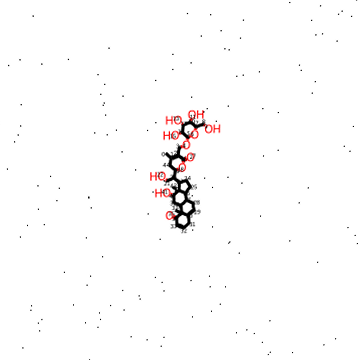 CC1=C(COC2OC(CO)C(O)C(O)C2O)C(=O)OC(C(CO)C2CCC3C4CC=C5CC=CC(=O)C5(C)C4CC(O)C23C)C1